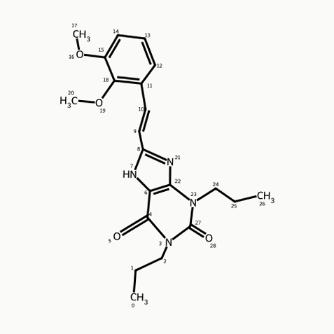 CCCn1c(=O)c2[nH]c(/C=C/c3cccc(OC)c3OC)nc2n(CCC)c1=O